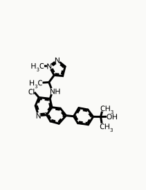 CC(Nc1c(Cl)cnc2ccc(-c3ccc(C(C)(C)O)cc3)cc12)c1ccnn1C